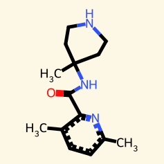 Cc1ccc(C)c(C(=O)NC2(C)CCNCC2)n1